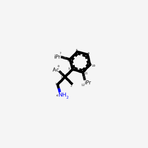 CC(=O)C(C)(CN)c1c(C(C)C)cccc1C(C)C